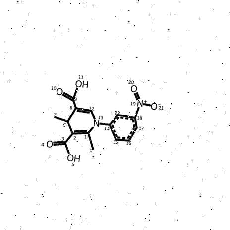 CC1=C(C(=O)O)C(C)C(C(=O)O)=CN1c1cccc([N+](=O)[O-])c1